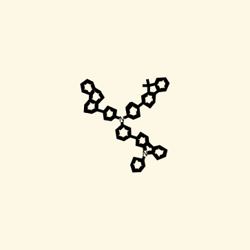 CC1(C)c2ccccc2-c2ccc(-c3c#cc(N(c4ccc(-c5cccc6c5ccc5ccccc56)cc4)c4cccc(-c5ccc6c7ccccc7n(-c7ccccc7)c6c5)c4)cc3)cc21